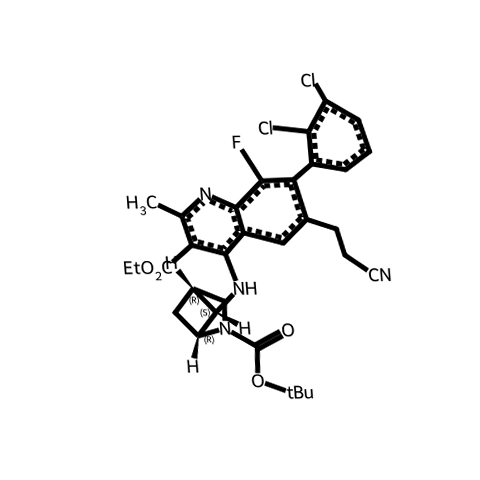 CCOC(=O)c1c(C)nc2c(F)c(-c3cccc(Cl)c3Cl)c(CCC#N)cc2c1N[C@H]1[C@@H]2C[C@H]1N(C(=O)OC(C)(C)C)C2